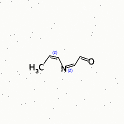 C/C=C\N=C/C=O